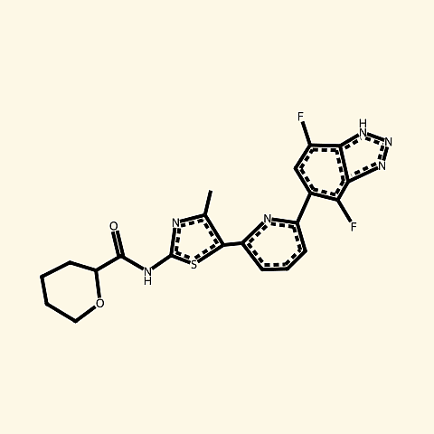 Cc1nc(NC(=O)C2CCCCO2)sc1-c1cccc(-c2cc(F)c3[nH]nnc3c2F)n1